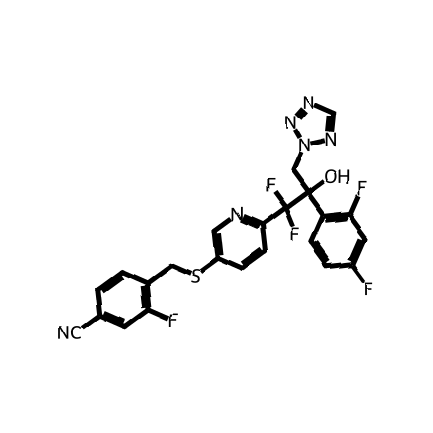 N#Cc1ccc(CSc2ccc(C(F)(F)C(O)(Cn3ncnn3)c3ccc(F)cc3F)nc2)c(F)c1